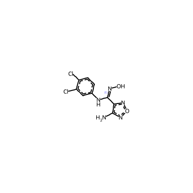 Nc1nonc1/C(=N\O)Nc1ccc(Cl)c(Cl)c1